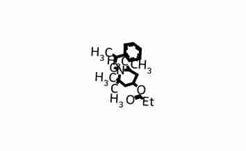 CCC(=O)OC1CC(C)(C)N(OC(C)c2ccccc2)C(C)(C)C1